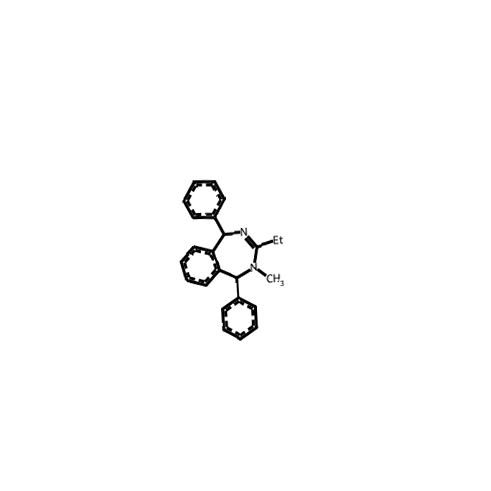 CCC1=NC(c2ccccc2)c2ccccc2C(c2ccccc2)N1C